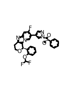 O=S(=O)(c1ccccc1)n1cc(-c2cn3c4c(nc3cc2F)CCO[C@@H]4c2ccccc2OC(F)F)cn1